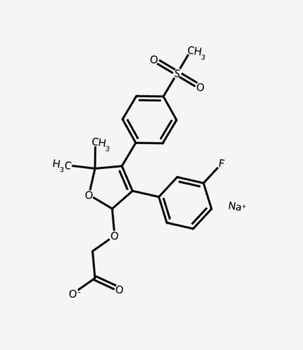 CC1(C)OC(OCC(=O)[O-])C(c2cccc(F)c2)=C1c1ccc(S(C)(=O)=O)cc1.[Na+]